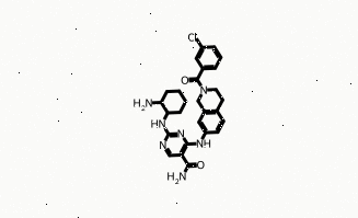 NC(=O)c1cnc(NC2CCCCC2N)nc1Nc1ccc2c(c1)CN(C(=O)c1cccc(Cl)c1)CC2